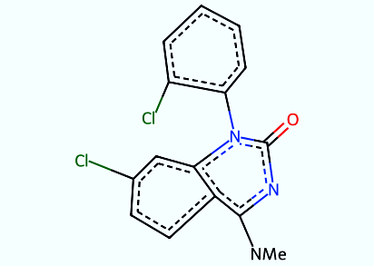 CNc1nc(=O)n(-c2ccccc2Cl)c2cc(Cl)ccc12